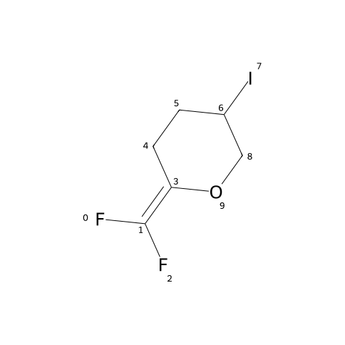 FC(F)=C1CCC(I)CO1